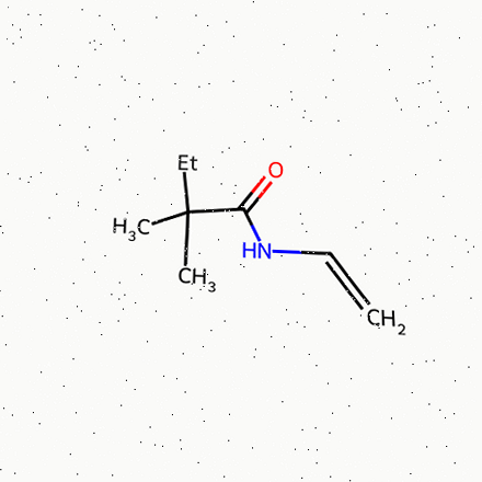 C=CNC(=O)C(C)(C)CC